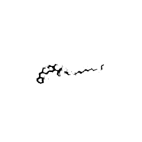 CCC1(OC(=O)CNC(=O)CCC(=O)CCCCC[C@@H](C)C(C)=O)C(=O)OCc2c1cc1n(c2=O)Cc2cc3ccccc3nc2-1